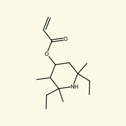 C=CC(=O)OC1CC(C)(CC)NC(C)(CC)C1C